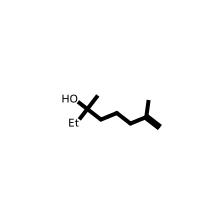 [CH2]CC(C)(O)CCCC(=C)C